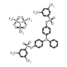 O=S(=O)(Oc1ccc([S+](c2ccccc2)c2ccc(OS(=O)(=O)c3cc(C(F)(F)F)cc(C(F)(F)F)c3)cc2)cc1)c1cc(C(F)(F)F)cc(C(F)(F)F)c1.O=S(=O)([C-](S(=O)(=O)C(F)(F)F)S(=O)(=O)C(F)(F)F)C(F)(F)F